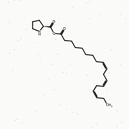 CC/C=C\C/C=C\C/C=C\CCCCCCCC(=O)OC(=O)[C@@H]1CCCN1